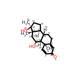 C[C@]12C=CC(=O)C=C1CC[C@@H]1[C@@H]2[C@@H](O)C[C@@]2(C)[C@H]1CC[C@]2(C)O